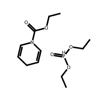 CCOC(=O)N1C=CCC=C1.CCO[PH](=O)OCC